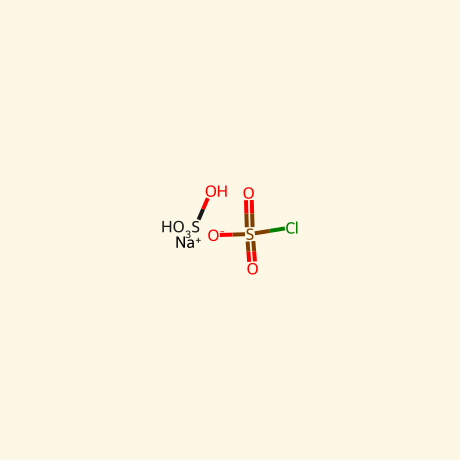 O=S(=O)(O)O.O=S(=O)([O-])Cl.[Na+]